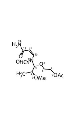 CO[C@@H](C)[C@@H](OCCOC(C)=O)N(C=O)/C=C\C(N)=O